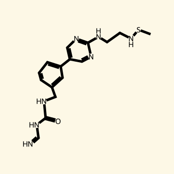 CSNCCNc1ncc(-c2cccc(CNC(=O)NC=N)c2)cn1